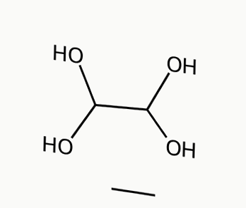 CC.OC(O)C(O)O